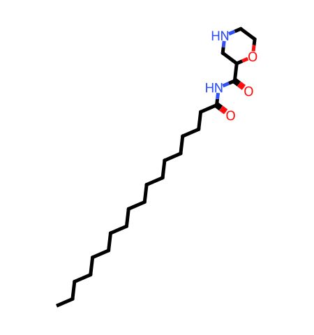 CCCCCCCCCCCCCCCCCC(=O)NC(=O)C1CNCCO1